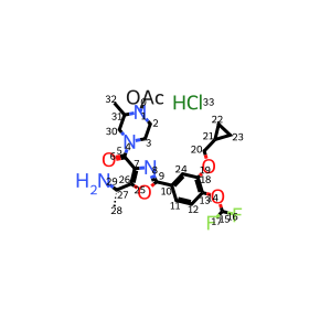 CC(=O)ON1CCN(C(=O)c2nc(-c3ccc(OC(F)F)c(OCC4CC4)c3)oc2[C@H](C)N)CC1C.Cl